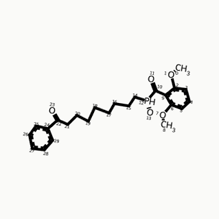 COc1cccc(OC)c1C(=O)[PH](=O)CCCCCCCCC(=O)c1ccccc1